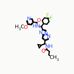 CCCC(=O)N[C@@H](c1cnn2cc([C@@H](NC(=O)c3cncc(OC)c3)C3CCC(F)(F)CC3)nc2c1)C1CC1